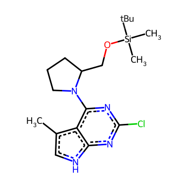 Cc1c[nH]c2nc(Cl)nc(N3CCCC3CO[Si](C)(C)C(C)(C)C)c12